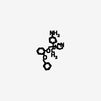 CC(COc1ccccc1OCc1ccccc1)(c1ccc(N)cc1)N1C=NCC1